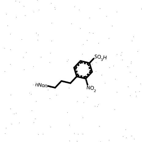 CCCCCCCCCCCCc1ccc(S(=O)(=O)O)cc1[N+](=O)[O-]